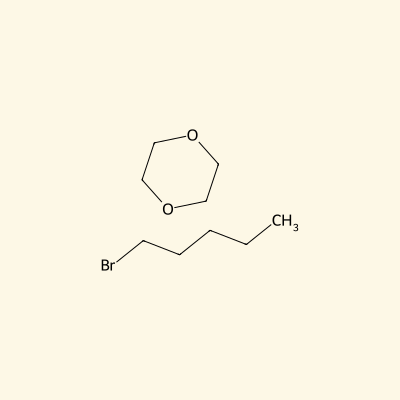 C1COCCO1.CCCCCBr